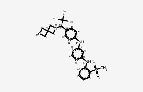 CS(=O)(=O)c1cccnc1Nc1cc(Nc2ccc([C@@H](N3CC4(COC4)C3)C(F)(F)F)cn2)ncn1